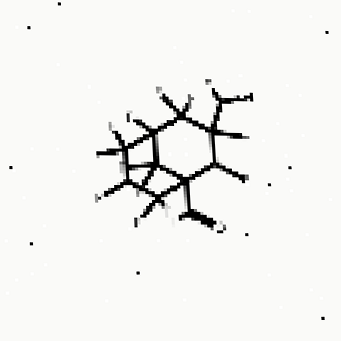 O=C(F)C12C(F)C(F)(C(F)F)C(F)(F)C(F)(C(F)(F)C(F)C1(F)F)C2(F)F